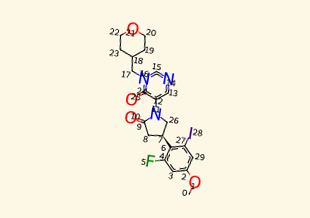 COc1cc(F)c([C@H]2CC(=O)N(c3cncn(CC4CCOCC4)c3=O)C2)c(I)c1